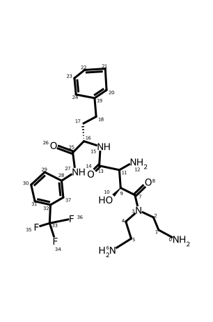 NCCN(CCN)C(=O)[C@@H](O)C(N)C(=O)N[C@@H](CCc1ccccc1)C(=O)Nc1cccc(C(F)(F)F)c1